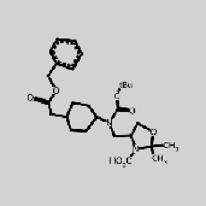 CC(C)(C)OC(=O)N(CC1COC(C)(C)N1C(=O)O)C1CCC(CC(=O)OCc2ccccc2)CC1